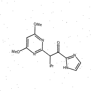 COc1cc(OC)nc(C(C(=O)c2ncc[nH]2)C(C)C)n1